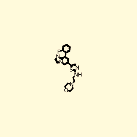 Fc1ccccc1-c1cc(-c2cnc(NCCN3CCOCC3)s2)cn2ccnc12